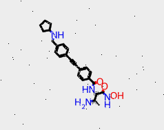 C[C@@H](N)[C@H](NC(=O)c1ccc(C#Cc2ccc(CNC3CCCC3)cc2)cc1)C(=O)NO